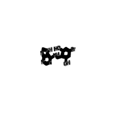 Oc1cc(Br)cc(O)c1CNc1ncnc2nc[nH]c12